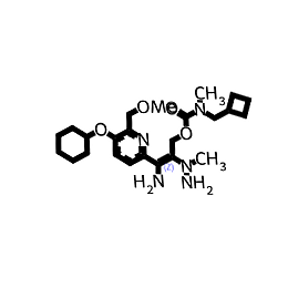 COCc1nc(/C(N)=C(\COC(=O)N(C)CC2CCC2)N(C)N)ccc1OC1CCCCC1